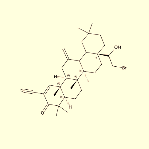 C=C1C[C@@H]2[C@@]3(C)C=C(C#N)C(=O)C(C)(C)[C@@H]3CC[C@@]2(C)[C@]2(C)CC[C@@]3(C(O)CBr)CCC(C)(C)CC3C12